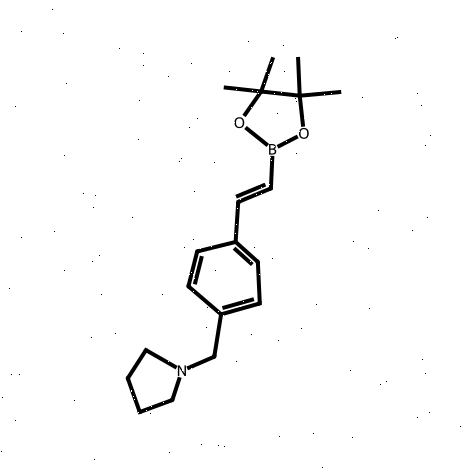 CC1(C)OB(/C=C/c2ccc(CN3CCCC3)cc2)OC1(C)C